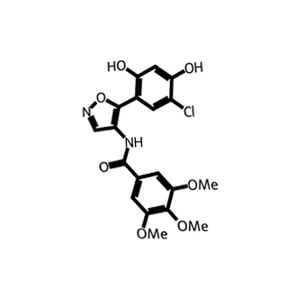 COc1cc(C(=O)Nc2cnoc2-c2cc(Cl)c(O)cc2O)cc(OC)c1OC